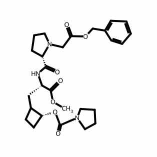 COC(=O)[C@H](CC1CC[C@H]1OC(=O)N1CCCC1)NC(=O)[C@@H]1CCCN1CC(=O)OCc1ccccc1